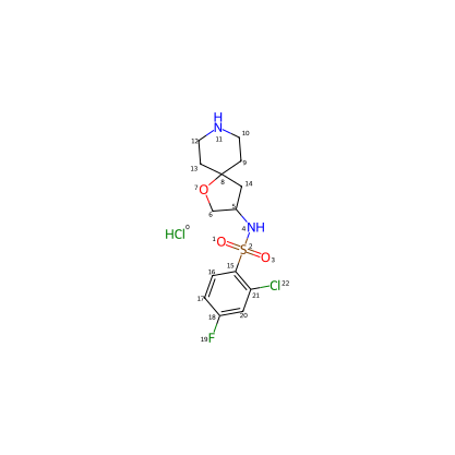 Cl.O=S(=O)(NC1COC2(CCNCC2)C1)c1ccc(F)cc1Cl